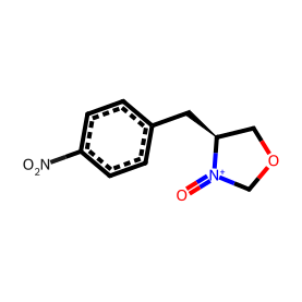 O=[N+]([O-])c1ccc(C[C@H]2COC[N+]2=O)cc1